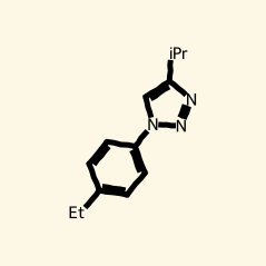 CCc1ccc(-n2cc(C(C)C)nn2)cc1